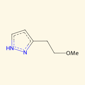 COCCc1cc[nH]n1